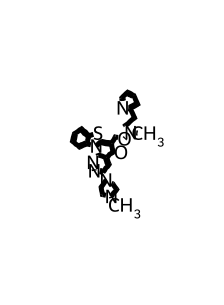 CN1CCN(c2cc3c(=O)c(CON(C)CCc4ccccn4)c4sc5ccccc5n4c3nn2)CC1